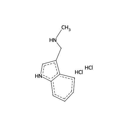 CNCc1c[nH]c2ccccc12.Cl.Cl